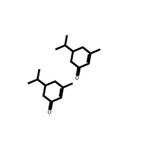 CC1=CC(=O)CC(C(C)C)C1.CC1=CC(=O)CC(C(C)C)C1